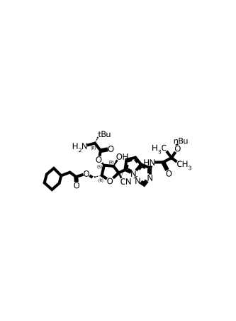 CCCCOC(C)(C)C(=O)Nc1ncnn2c([C@]3(C#N)O[C@H](COC(=O)CC4CCCCC4)[C@@H](OC(=O)[C@H](N)C(C)(C)C)[C@H]3O)ccc12